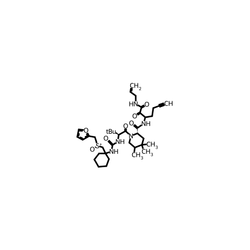 C#CCCC(NC(=O)[C@@H]1CC(C)(C)C(C)CN1C(=O)[C@@H](NC(=O)NC1(C[S+]([O-])Cc2ccco2)CCCCC1)C(C)(C)C)C(=O)C(=O)NCC=C